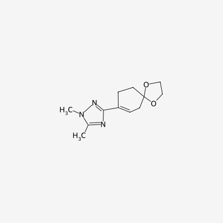 Cc1nc(C2=CCC3(CC2)OCCO3)nn1C